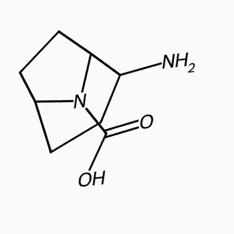 NC1CCC2CCC1N2C(=O)O